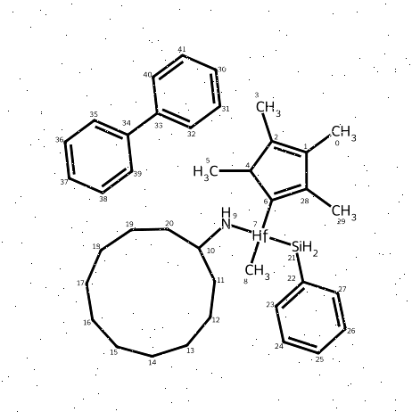 CC1=C(C)C(C)[C]([Hf]([CH3])([NH]C2CCCCCCCCCC2)[SiH2]c2ccccc2)=C1C.c1ccc(-c2ccccc2)cc1